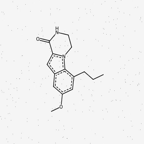 CCCc1cc(OC)cc2cc3n(c12)CCNC3=O